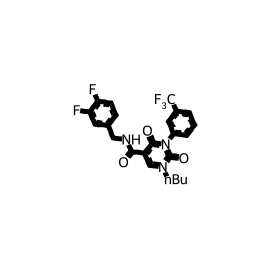 CCCCn1cc(C(=O)NCc2ccc(F)c(F)c2)c(=O)n(-c2cccc(C(F)(F)F)c2)c1=O